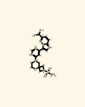 NS(=O)(=O)N1CC2(CN(c3cc(-c4cnc5ccc(C(F)F)nn45)ncn3)CCO2)C1